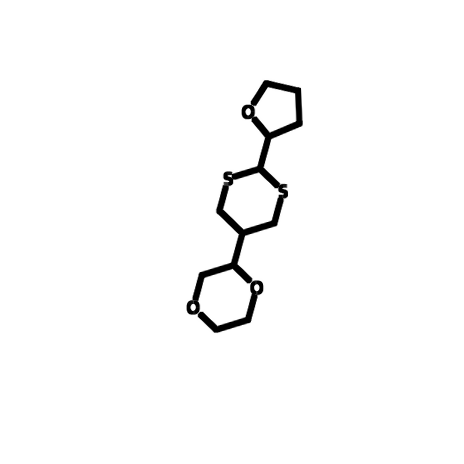 C1COC(C2SCC(C3COCCO3)CS2)C1